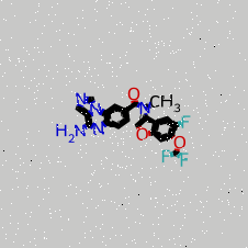 CN(C(=O)c1ccc2nc(N)c3cncn3c2c1)[C@@H]1COc2cc(OC(F)F)c(F)cc21